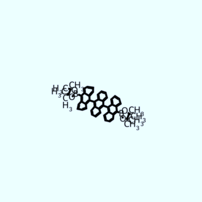 CC1(C)OB(c2c3ccccc3c(-c3c4ccccc4c(-c4c5ccccc5c(B5OC(C)(C)C(C)(C)O5)c5ccccc45)c4ccccc34)c3ccccc23)OC1(C)C